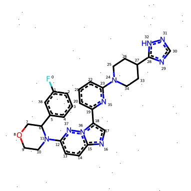 Fc1cccc(C2COCCN2c2ccc3ncc(-c4cccc(N5CCC(c6ncn[nH]6)CC5)n4)n3n2)c1